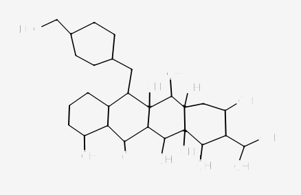 CCC1CCC(CC2C3CCCC(C)C3C(O)C3C(C)C4(C)C(C)C(C(C)C)C(C)CC4(C)C(C)C23C)CC1